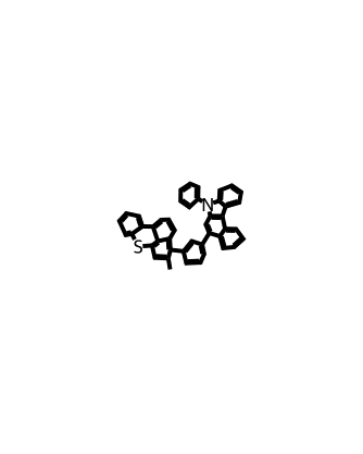 Cc1cc2c3c(cccc3c1-c1cccc(-c3cc4c(c5ccccc35)c3ccccc3n4-c3ccccc3)c1)-c1ccccc1S2